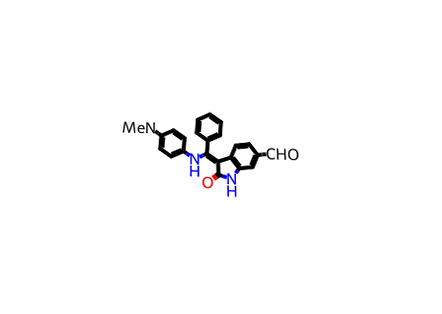 CNc1ccc(N/C(=C2\C(=O)Nc3cc(C=O)ccc32)c2ccccc2)cc1